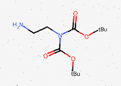 CC(C)(C)OC(=O)N(CCN)C(=O)OC(C)(C)C